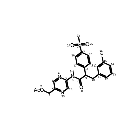 CC(=O)OCc1cnc(NC(=O)C(Cc2cccc(F)c2)c2ccc(S(C)(=O)=O)cc2)cn1